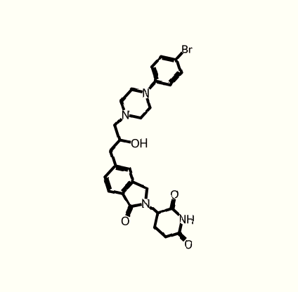 O=C1CCC(N2Cc3cc(CC(O)CN4CCN(c5ccc(Br)cc5)CC4)ccc3C2=O)C(=O)N1